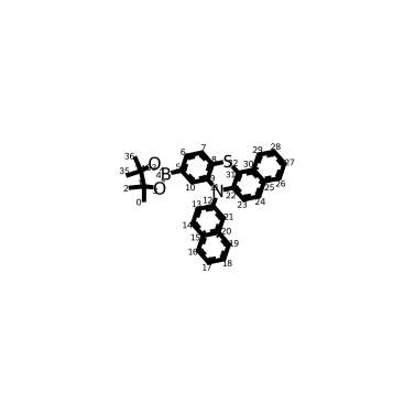 CC1(C)OB(c2ccc3c(c2)N(c2ccc4ccccc4c2)c2ccc4ccccc4c2S3)OC1(C)C